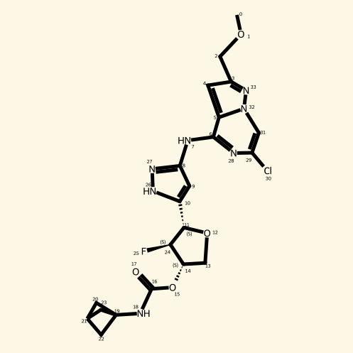 COCc1cc2c(Nc3cc([C@@H]4OC[C@H](OC(=O)NC56CC(C5)C6)[C@H]4F)[nH]n3)nc(Cl)cn2n1